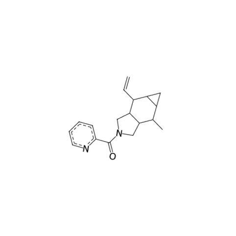 C=CC1C2CC2C(C)C2CN(C(=O)c3ccccn3)CC12